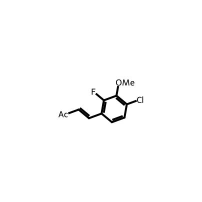 COc1c(Cl)ccc(C=CC(C)=O)c1F